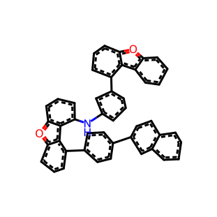 c1cc(Nc2cccc3oc4cccc(-c5ccc(-c6ccc7ccccc7c6)cc5)c4c23)cc(-c2cccc3oc4ccccc4c23)c1